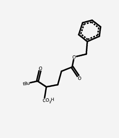 CC(C)(C)C(=O)C(CCC(=O)OCc1ccccc1)C(=O)O